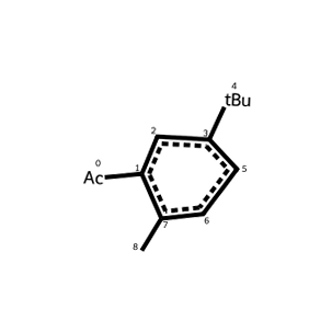 CC(=O)c1cc(C(C)(C)C)ccc1C